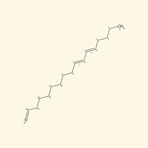 CCCC/C=C/C=C/CCCCCCCC=O